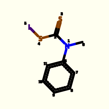 CN(C(=S)SI)c1ccccc1